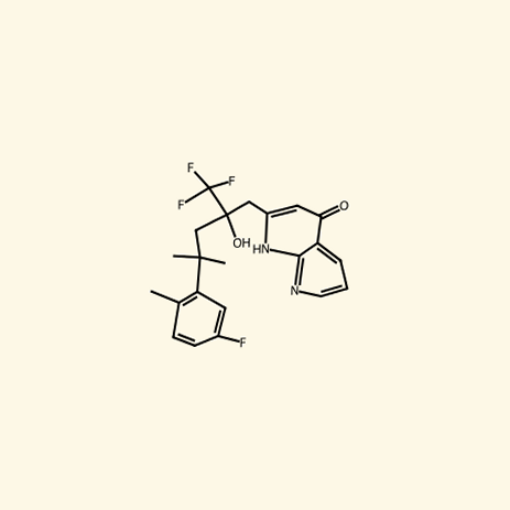 Cc1ccc(F)cc1C(C)(C)CC(O)(Cc1cc(=O)c2cccnc2[nH]1)C(F)(F)F